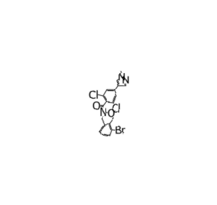 Cn1cc(-c2cc(Cl)c(C(=O)N3Cc4cccc(Br)c4CO3)c(Cl)c2)cn1